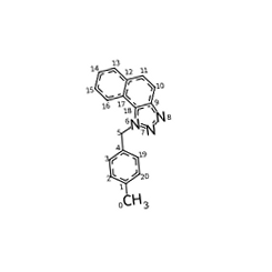 Cc1ccc(Cn2nnc3ccc4ccccc4c32)cc1